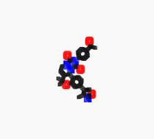 CC(=O)c1ccc(-n2c(=O)n3n(c2=O)C2C(=CC3)C(C)(C)Oc3cc(-c4conc4C)ccc32)cc1